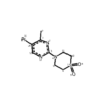 Cc1nc(N2CCS(=O)(=O)CC2)ncc1C(C)C